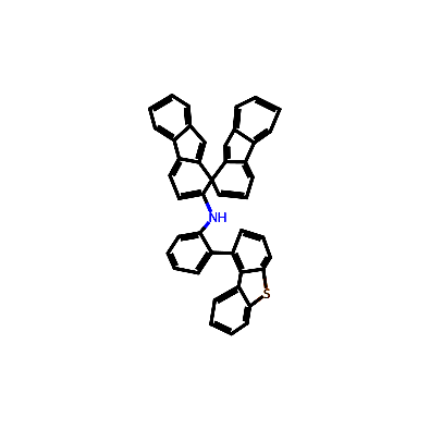 C1=CC2(C(Nc3ccccc3-c3cccc4sc5ccccc5c34)=CC=C3C2=Cc2ccccc23)C2=Cc3ccccc3C2=C1